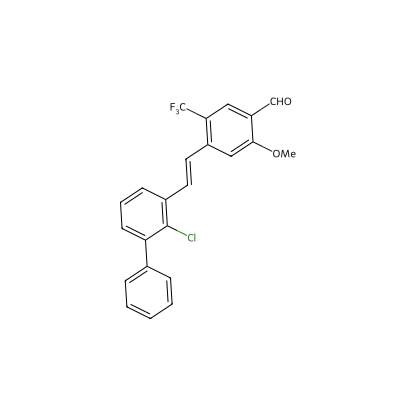 COc1cc(/C=C/c2cccc(-c3ccccc3)c2Cl)c(C(F)(F)F)cc1C=O